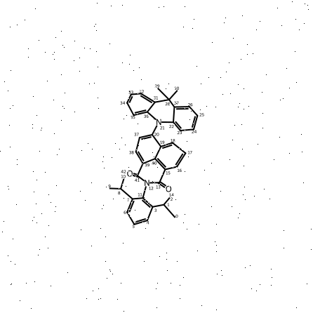 CC(C)c1cccc(C(C)C)c1N1C(=O)c2cccc3c(N4c5ccccc5C(C)(C)c5ccccc54)ccc(c23)C1=O